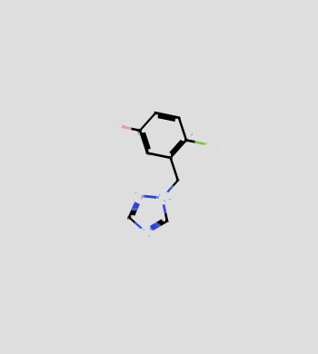 Bc1ccc(F)c(Cn2cncn2)c1